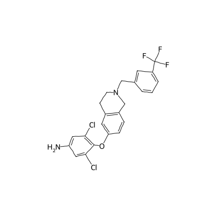 Nc1cc(Cl)c(Oc2ccc3c(c2)CCN(Cc2cccc(C(F)(F)F)c2)C3)c(Cl)c1